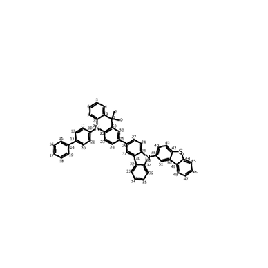 CC1(C)c2ccccc2N(c2ccc(-c3ccccc3)cc2)c2ccc(-c3ccc4c(c3)c3ccccc3n4-c3ccc4sc5ccccc5c4c3)cc21